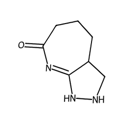 O=C1CCCC2CNNC2=N1